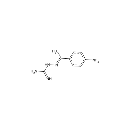 CC(=NNC(=N)N)c1ccc(N)cc1